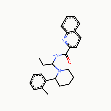 CCC(NC(=O)c1ccc2ccccc2n1)N1CCCCC1c1ccccc1C